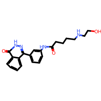 O=C(CCCCNCCO)Nc1cccc(-c2n[nH]c(=O)c3ccccc23)c1